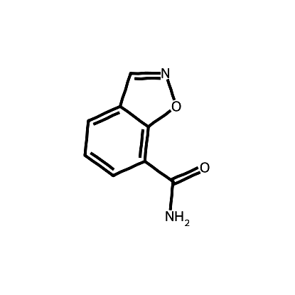 NC(=O)c1cccc2cnoc12